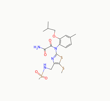 CSc1sc(N(C(=O)C(N)=O)c2ccc(C)cc2OCC(C)C)nc1CNS(C)(=O)=O